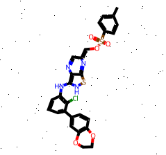 Cc1ccc(S(=O)(=O)OC=c2cnc3c(n2)SNC=3Nc2cccc(-c3ccc4c(c3)OCCO4)c2Cl)cc1